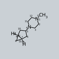 CN1CCN(C2C[C@@H]3C[C@@H]3C2)CC1